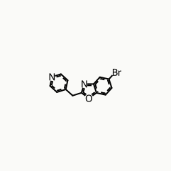 Brc1ccc2oc(Cc3ccncc3)nc2c1